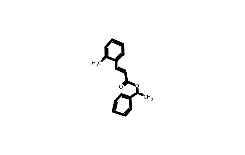 Cc1ccccc1/C=C/C(=O)OC(C)c1ccccc1